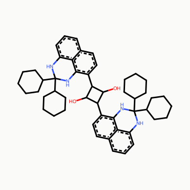 OC1C(c2ccc3cccc4c3c2NC(C2CCCCC2)(C2CCCCC2)N4)C(O)C1c1ccc2cccc3c2c1NC(C1CCCCC1)(C1CCCCC1)N3